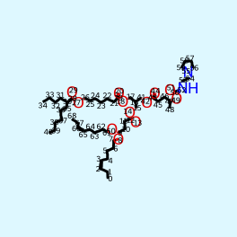 CC/C=C\CCCCOC(CCC(=O)OCC(COC(=O)CCCCCCOC(=O)C(CCCC)CCCCCC)COC(=O)CCC(C)OC(=O)NCCN1CCCC1)OCCCC/C=C\CC